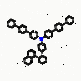 c1ccc(-c2ccc(-c3ccc(N(c4ccc(-c5ccc(-c6ccccc6)cc5)cc4)c4ccc(-c5ccccc5-c5cccc6ccccc56)cc4)cc3)cc2)cc1